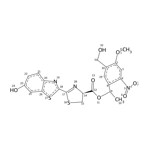 COc1cc([N+](=O)[O-])c(C(C)OC(=O)[C@H]2CSC(c3nc4ccc(O)cc4s3)=N2)cc1CO